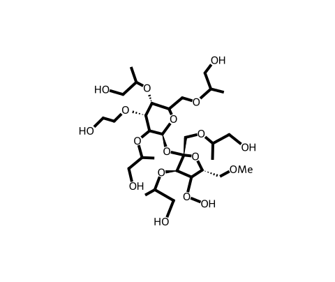 COC[C@H]1O[C@@](COC(C)CO)(O[C@@H]2OC(COC(C)CO)[C@@H](OC(C)CO)[C@@H](OCCO)C2OC(C)CO)[C@H](OC(C)CO)C1OO